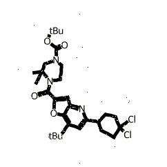 CC(C)(C)OC(=O)N1CCN(C(=O)c2cc3nc(C4CCC(Cl)(Cl)CC4)cc(C(C)(C)C)c3o2)C(C)(C)C1